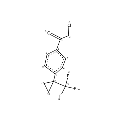 O=C(CCl)c1ccc(C2(C(F)(F)F)CC2)cc1